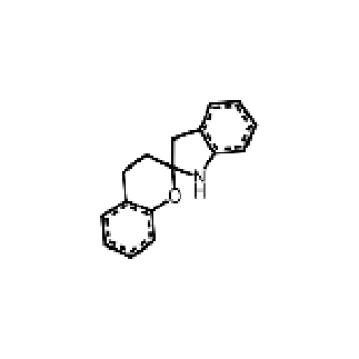 c1ccc2c(c1)CC1(CCc3ccccc3O1)N2